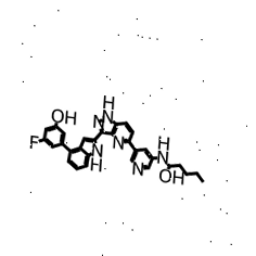 CCCCC(O)Nc1cncc(-c2ccc3[nH]nc(-c4cc5c(-c6cc(O)cc(F)c6)cccc5[nH]4)c3n2)c1